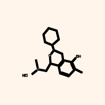 Cc1ccc2c(c1O)CC(C1CCCCC1)OC2CN(C)C.Cl